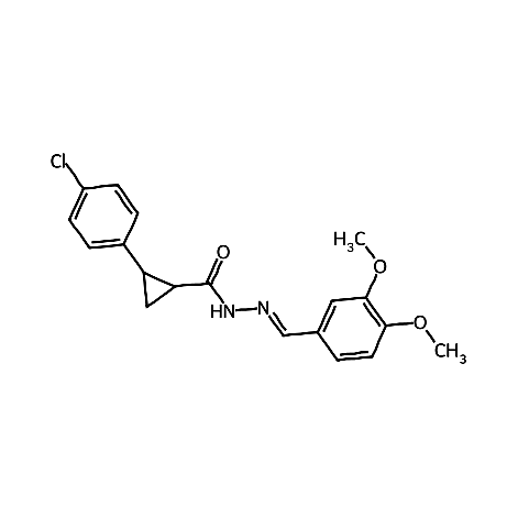 COc1ccc(/C=N/NC(=O)C2CC2c2ccc(Cl)cc2)cc1OC